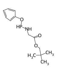 CC(C)(C)COC(=O)CNPOc1ccccc1